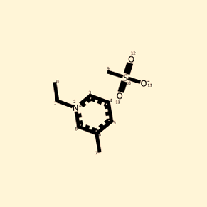 CC[n+]1cccc(C)c1.CS(=O)(=O)[O-]